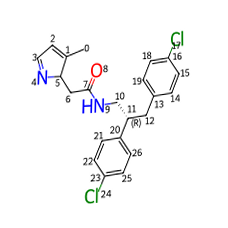 CC1=CC=NC1CC(=O)NC[C@H](Cc1ccc(Cl)cc1)c1ccc(Cl)cc1